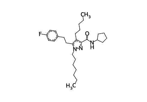 CCCCCCCn1nc(C(=O)NC2CCCC2)c(CCCCC)c1CCc1ccc(F)cc1